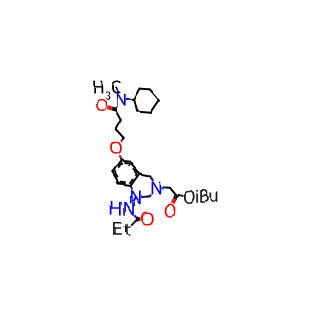 CCC(=O)NN1CN(CC(=O)OCC(C)C)Cc2cc(OCCCC(=O)N(C)C3CCCCC3)ccc21